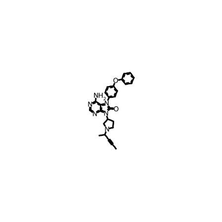 CC#CC(C)N1CCC(n2c(=O)n(-c3ccc(Oc4ccccc4)cc3)c3c(N)ncnc32)C1